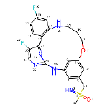 CS(=N)(=O)Cc1cc2cc(c1)OCCCNc1cc(F)ccc1-c1nc(ncc1F)N2